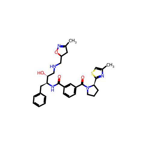 CC1=NOC(CNC[C@@H](O)[C@H](Cc2ccccc2)NC(=O)c2cccc(C(=O)N3CCC[C@@H]3c3nc(C)cs3)c2)C1